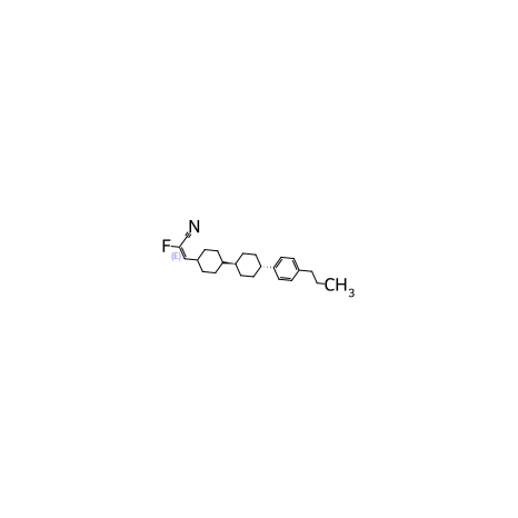 CCCc1ccc([C@H]2CC[C@H](C3CCC(/C=C(/F)C#N)CC3)CC2)cc1